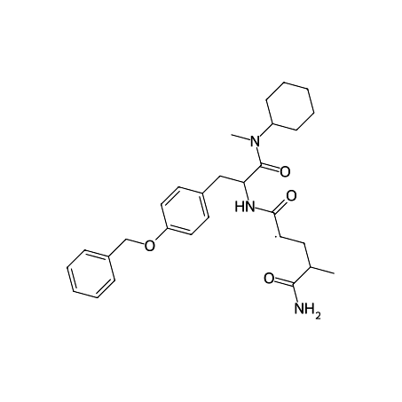 CC(C[CH]C(=O)NC(Cc1ccc(OCc2ccccc2)cc1)C(=O)N(C)C1CCCCC1)C(N)=O